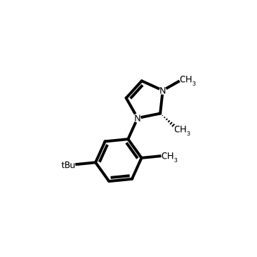 Cc1ccc(C(C)(C)C)cc1N1C=CN(C)[C@@H]1C